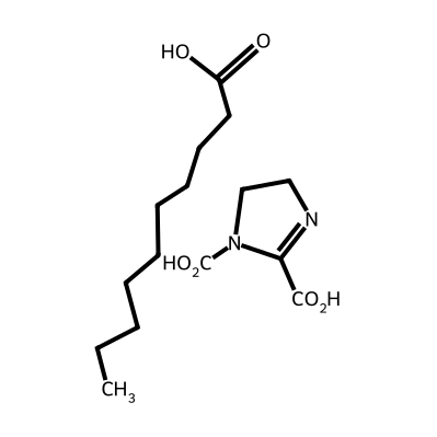 CCCCCCCCCC(=O)O.O=C(O)C1=NCCN1C(=O)O